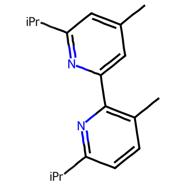 Cc1cc(-c2nc(C(C)C)ccc2C)nc(C(C)C)c1